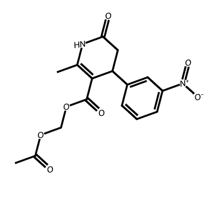 CC(=O)OCOC(=O)C1=C(C)NC(=O)CC1c1cccc([N+](=O)[O-])c1